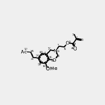 C=C(C)C(=O)OCCN1COc2c(cc(CCC(C)=O)cc2OC)C1